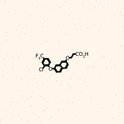 O=C(O)CCOc1ccc2ccc(Oc3ccc(C(F)(F)F)cc3Cl)cc2c1